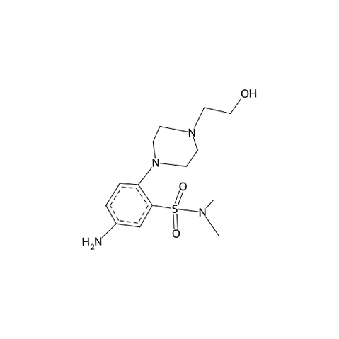 CN(C)S(=O)(=O)c1cc(N)ccc1N1CCN(CCO)CC1